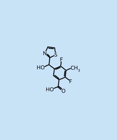 Cc1c(F)c(C(=O)O)cc(C(O)c2nccs2)c1F